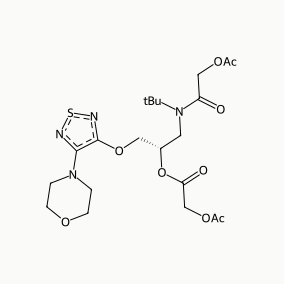 CC(=O)OCC(=O)O[C@H](COc1nsnc1N1CCOCC1)CN(C(=O)COC(C)=O)C(C)(C)C